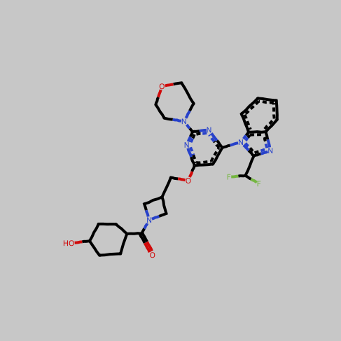 O=C(C1CCC(O)CC1)N1CC(COc2cc(-n3c(C(F)F)nc4ccccc43)nc(N3CCOCC3)n2)C1